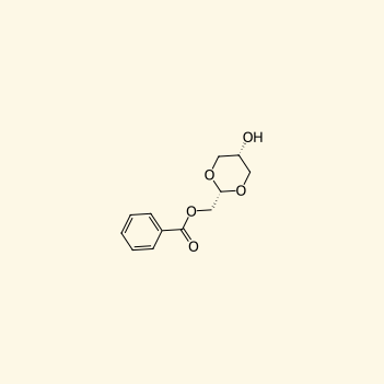 O=C(OC[C@H]1OC[C@@H](O)CO1)c1ccccc1